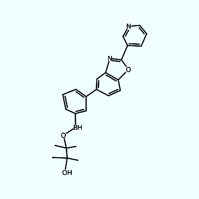 CC(C)(O)C(C)(C)OBc1cccc(-c2ccc3oc(-c4cccnc4)nc3c2)c1